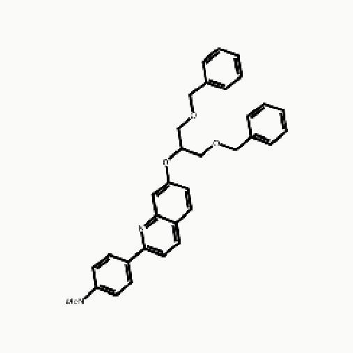 CNc1ccc(-c2ccc3ccc(OC(COCc4ccccc4)COCc4ccccc4)cc3n2)cc1